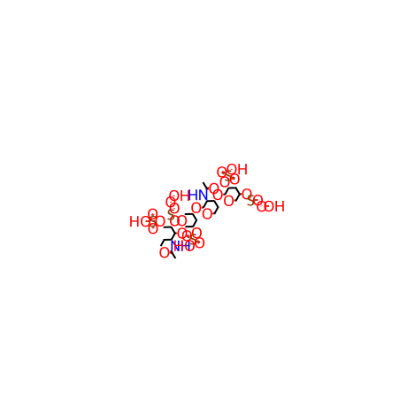 CCC(NC(C)=O)C(OC1OCC(OC2OCCC(OC3OCC(OSOOO)CC3OS(=O)(=O)O)C2NC(C)=O)CC1OS(=O)(=O)O)C(COS(=O)(=O)O)OSOOO